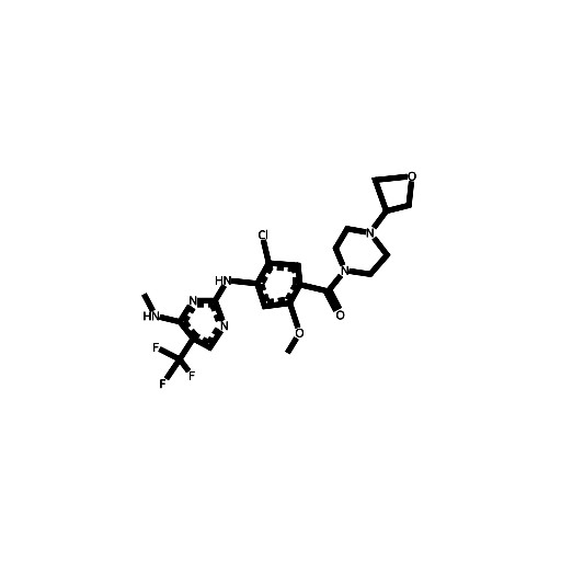 CNc1nc(Nc2cc(OC)c(C(=O)N3CCN(C4COC4)CC3)cc2Cl)ncc1C(F)(F)F